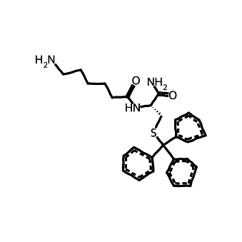 NCCCCCC(=O)N[C@@H](CSC(c1ccccc1)(c1ccccc1)c1ccccc1)C(N)=O